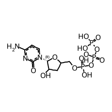 Nc1ccn([C@@H]2OC(COP(=O)(O)OP(=O)(O)OP(=O)(O)O)CC2O)c(=O)n1